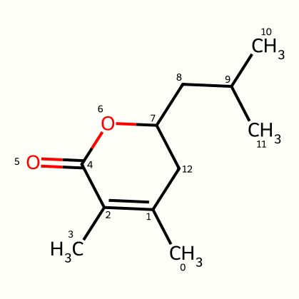 CC1=C(C)C(=O)OC(CC(C)C)C1